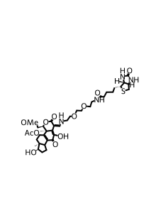 COC[C@H]1OC(=O)/C(=C\NCCOCCOCCNC(=O)CCCC[C@H]2SC[C@H]3NC(=O)N[C@H]32)C2=C(O)C(=O)C3=C([C@H](OC(C)=O)C[C@@]4(C)C3CC[C@@H]4O)[C@]21C